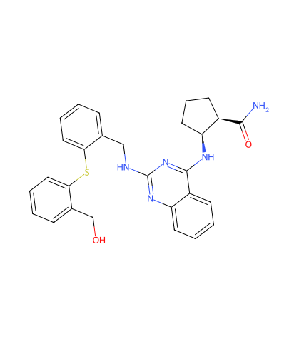 NC(=O)[C@@H]1CCC[C@@H]1Nc1nc(NCc2ccccc2Sc2ccccc2CO)nc2ccccc12